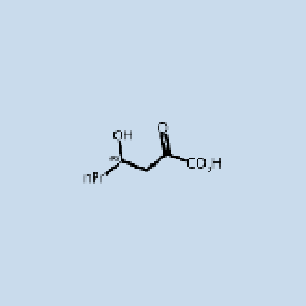 CCC[C@@H](O)CC(=O)C(=O)O